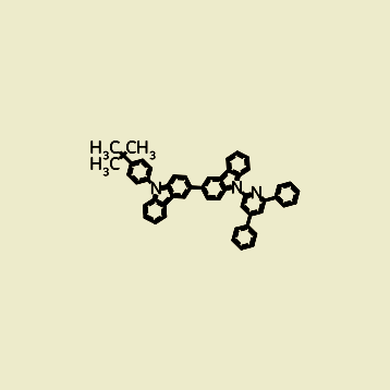 CC(C)(C)c1ccc(-n2c3ccccc3c3cc(-c4ccc5c(c4)c4ccccc4n5-c4cc(-c5ccccc5)cc(-c5ccccc5)n4)ccc32)cc1